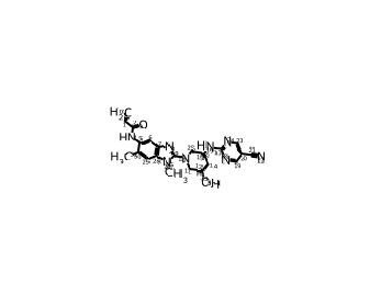 C=CC(=O)Nc1cc2nc(N3C[C@H](O)C[C@@H](Nc4ncc(C#N)cn4)C3)n(C)c2cc1C